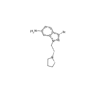 Nc1ccc2c(Br)nn(CCN3CCCC3)c2c1